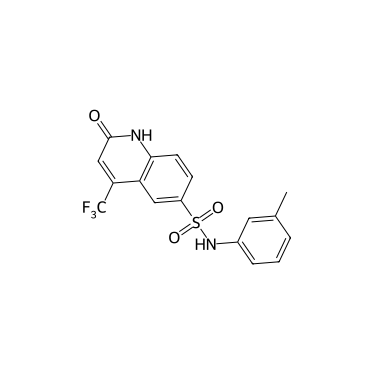 Cc1cccc(NS(=O)(=O)c2ccc3[nH]c(=O)cc(C(F)(F)F)c3c2)c1